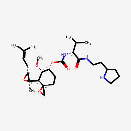 CO[C@@H]1[C@H](OC(=O)N[C@@H](C(=O)NCCC2CCCN2)C(C)C)CC[C@]2(CO2)[C@H]1[C@@]1(C)O[C@@H]1CC=C(C)C